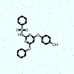 O=S(=O)(Nc1nc(Oc2ccccc2)cc(Oc2ccc(O)cc2)n1)c1ccccc1